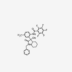 Cc1ccc(NC(=O)c2c(F)c(F)c(F)c(F)c2F)c(C(O)(C(=O)NCc2ccccc2)C2CCCCC2)c1